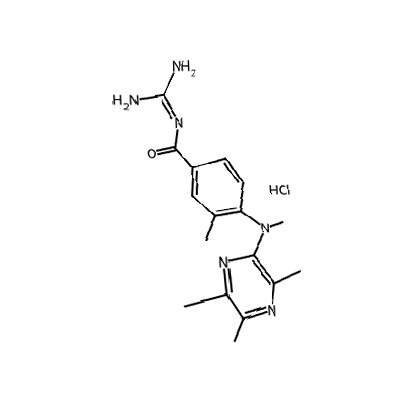 Cc1cc(C(=O)N=C(N)N)ccc1N(C)c1nc(C)c(C)nc1C.Cl